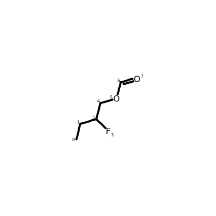 CCC(F)CO[C]=O